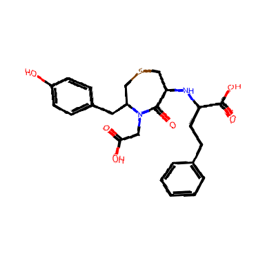 O=C(O)CN1C(=O)C(NC(CCc2ccccc2)C(=O)O)CSCC1Cc1ccc(O)cc1